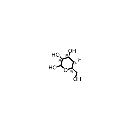 OC[C@H]1OC(O)[C@@H](O)[C@@H](O)[C@@H]1F